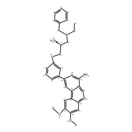 CCN(Cc1ccncc1)C[C@H](N)COc1cncc(-c2cc3c(cnc4cc(OC)c(OC)cc43)c(N)n2)c1